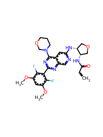 C=CC(=O)N[C@H]1COC[C@H]1Nc1cc2c(N3CCCOC3)nc(-c3c(F)c(OC)cc(OC)c3F)nc2cn1